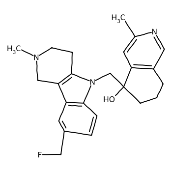 Cc1cc2c(cn1)CCCC2(O)Cn1c2c(c3cc(CF)ccc31)CN(C)CC2